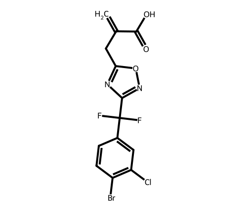 C=C(Cc1nc(C(F)(F)c2ccc(Br)c(Cl)c2)no1)C(=O)O